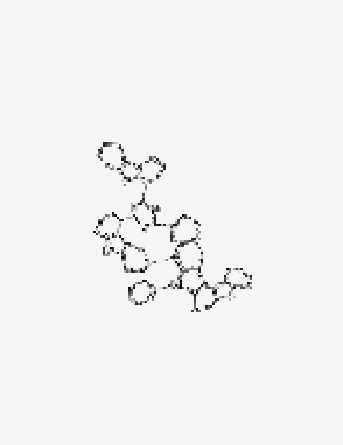 c1ccc(-c2nc(-c3cccc4c3sc3ccccc34)nc(-c3cccc4oc5ccc(-c6cccc7c8c9c(ccc8n(-c8ccccc8)c67)sc6ccccc69)cc5c34)n2)cc1